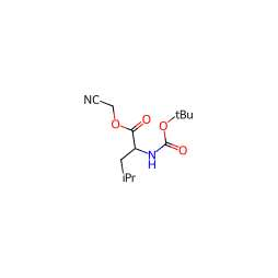 CC(C)CC(NC(=O)OC(C)(C)C)C(=O)OCC#N